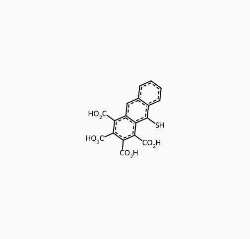 O=C(O)c1c(C(=O)O)c(C(=O)O)c2c(S)c3ccccc3cc2c1C(=O)O